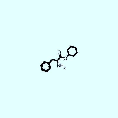 NC(Cc1ccccc1)C(=O)OC1CCCCC1